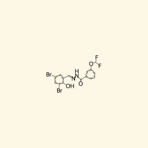 O=C(N/N=C/c1cc(Br)cc(Br)c1O)c1cccc(OC(F)F)c1